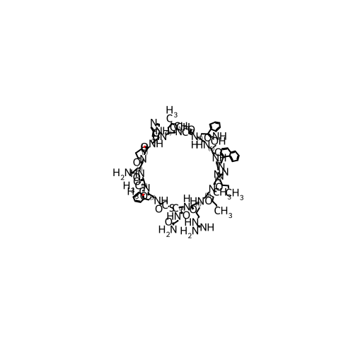 CCCC[C@H]1C(=O)N[C@H](CCCNC(=N)N)C(=O)N[C@@H](C(=O)NCC(N)=O)CSCC(=O)N[C@@H](Cc2ccccc2)C(=O)N(C)[C@@H](C)C(=O)N[C@@H](CC(N)=O)C(=O)N2CCC[C@H]2C(=O)N[C@@H](Cc2cnc[nH]2)C(=O)N[C@@H](CC(C)C)C(=O)N(C)CC(=O)N[C@@H](Cc2c[nH]c3ccccc23)C(=O)N[C@@H](CO)C(=O)N[C@@H](Cc2cccc3ccccc23)c2nnnn2[C@@H](CCCC)C(=O)N1C